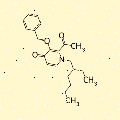 CCCCC(CC)Cn1ccc(=O)c(OCc2ccccc2)c1C(C)=O